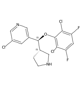 Fc1cc(F)c(Cl)c(O[C@H](c2cncc(Cl)c2)[C@H]2CCNC2)c1Cl